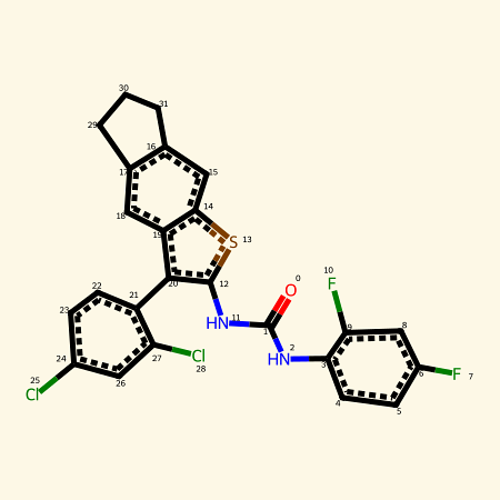 O=C(Nc1ccc(F)cc1F)Nc1sc2cc3c(cc2c1-c1ccc(Cl)cc1Cl)CCC3